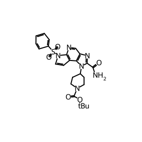 CC(C)(C)OC(=O)N1CCC(n2c(C(N)=O)nc3cnc4c(ccn4S(=O)(=O)c4ccccc4)c32)CC1